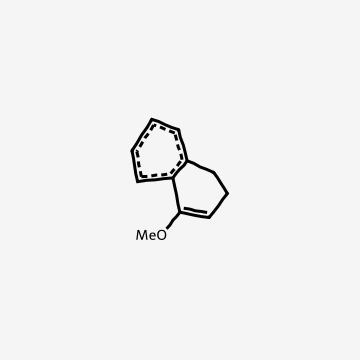 COC1=CCCc2ccccc21